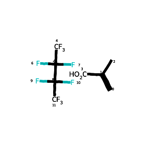 C=C(C)C(=O)O.FC(F)(F)C(F)(F)C(F)(F)C(F)(F)F